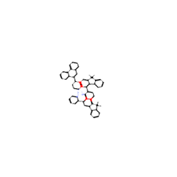 CC1(C)c2ccccc2-c2cc(-c3ccccc3N(C3=CCC(c4cc5ccccc5c5ccccc45)C=C3)c3ccccc3-c3cccc4c3-c3ccccc3C4(C)C)ccc21